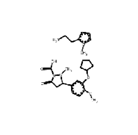 COc1ccc(C2CC(=O)N(C(=O)O)N2C)cc1OC1CCCC1.Cn1cccc1CCN